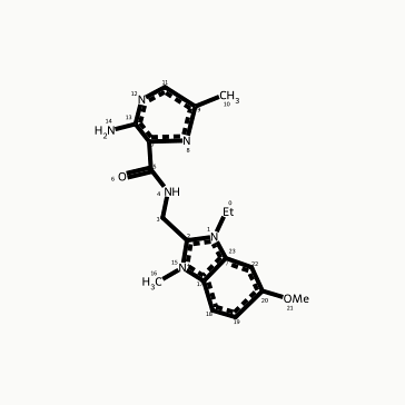 CCn1c(CNC(=O)c2nc(C)cnc2N)[n+](C)c2ccc(OC)cc21